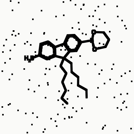 Bc1ccc2c(c1)C(CCCCCC)(CCCCCC)c1cc(B3OCCCO3)ccc1-2